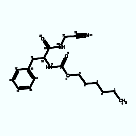 CCCCCCOC(=O)NC(Cc1ccccc1)C(=O)NCC#N